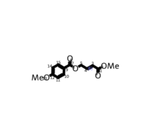 COC(=O)/C=C/COC(=O)c1ccc(OC)cc1